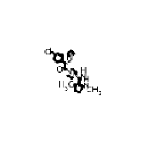 CNC1=C(C(=N)N2CCN(C(=O)[C@@H](CN3CCC3)c3ccc(Cl)cc3)CC2)[C@H](C)CC1